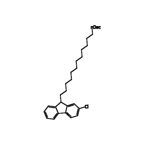 CCCCCCCCCCCCCCCCCCCCCCC1c2ccccc2-c2ccc(Cl)cc21